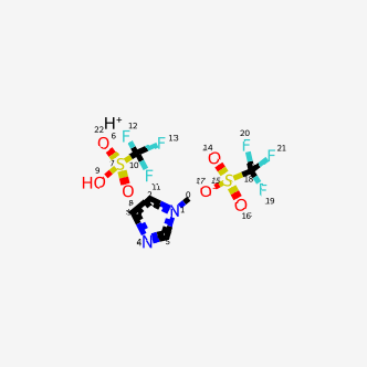 Cn1ccnc1.O=S(=O)(O)C(F)(F)F.O=S(=O)([O-])C(F)(F)F.[H+]